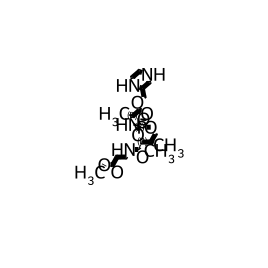 COC(=O)CCNC(=O)[C@@H]1O[P@@](=O)(N[C@H](C)C(=O)OCC2CNCCN2)OCC1(C)C